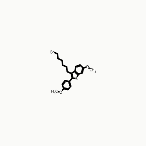 COc1ccc(-c2sc3cc(OC)ccc3c2CCCCCCBr)cc1